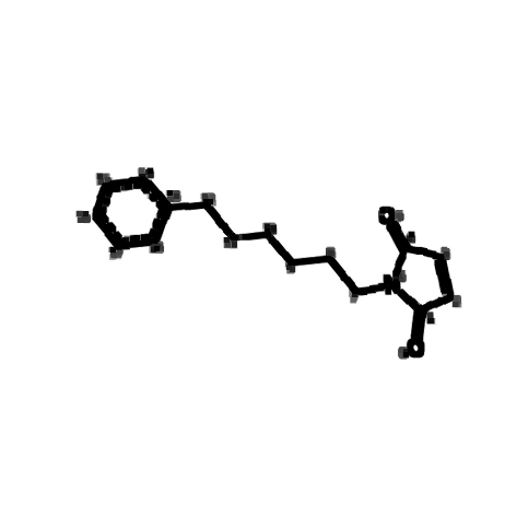 O=C1C=CC(=O)N1CCCCCCc1ccccc1